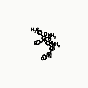 Cc1ccc(-c2cn(CC3CCOCC3)c(-c3ccc(-c4cc(-c5cnn(C6CCOCC6)c5)cnc4N)c(F)c3)c(C(N)=O)c2=O)cc1